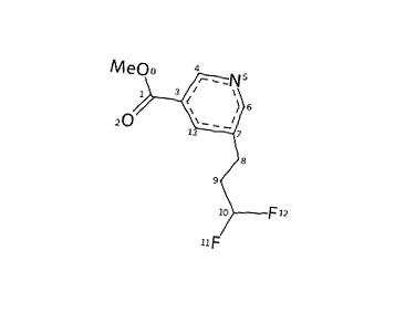 COC(=O)c1cncc(CCC(F)F)c1